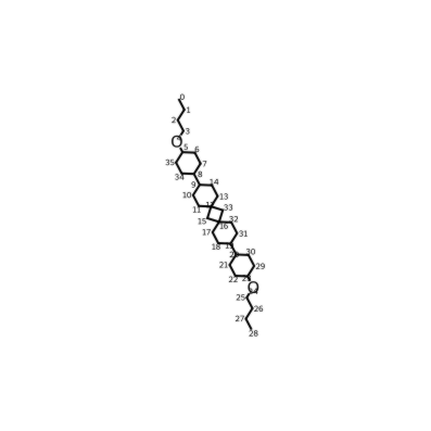 CCCCOC1CCC(C2CCC3(CC2)CC2(CCC(C4CCC(OCCCC)CC4)CC2)C3)CC1